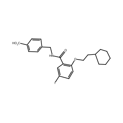 O=C(O)c1ccc(CNC(=O)c2cc(I)ccc2OCCC2CCCCC2)cc1